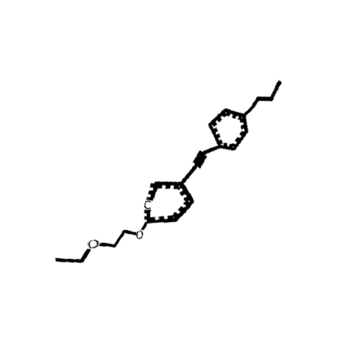 CCCc1ccc(C#Cc2ccc(OCCOCC)cc2)cc1